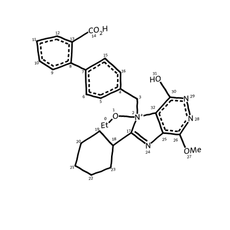 CCO[N+]1(Cc2ccc(-c3ccccc3C(=O)O)cc2)C(C2CCCCC2)=Nc2c(OC)nnc(O)c21